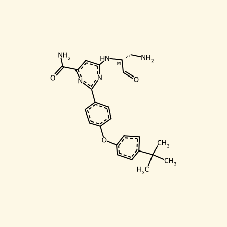 CC(C)(C)c1ccc(Oc2ccc(-c3nc(N[C@@H](C=O)CN)cc(C(N)=O)n3)cc2)cc1